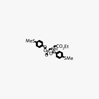 CCOC(=O)CNCP(=O)(OOc1ccc(SC)cc1)OOc1ccc(SC)cc1